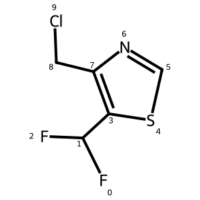 FC(F)c1scnc1CCl